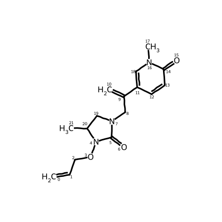 C=CCON1C(=O)N(CC(=C)c2ccc(=O)n(C)c2)CC1C